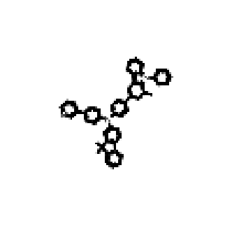 CC1CC(c2ccc(N(c3ccc(-c4cccnc4)cc3)c3ccc4c(c3)C(C)(C)c3ccccc3-4)cc2)=Cc2c1n(-c1ccccc1)c1ccccc21